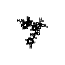 CC1(C)O[C@@H]2[C@H](O1)[C@@H](C(=O)NC[C@H]1CCCNC1)C[C@H]2n1cc(Br)c2c(N)ncnc21